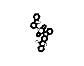 O=c1c2ccccc2oc2cc3c(cc12)C1(c2ccccc2-3)c2ccccc2N(c2cccc3c2oc2ccccc23)c2ccccc21